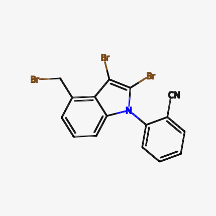 N#Cc1ccccc1-n1c(Br)c(Br)c2c(CBr)cccc21